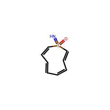 N=S1(=O)\C=C/C=C/C=C\C=C\1